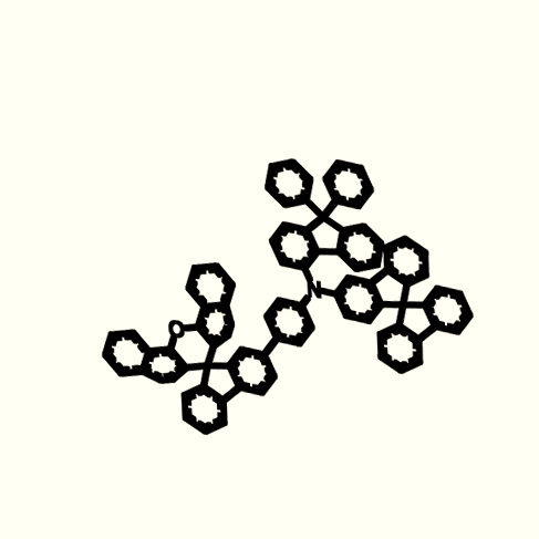 c1ccc(C2(c3ccccc3)c3ccccc3-c3c(N(c4ccc(-c5ccc6c(c5)C5(c7ccccc7-6)c6ccc7ccccc7c6Oc6c5ccc5ccccc65)cc4)c4ccc5c(c4)-c4ccccc4C54c5ccccc5-c5ccccc54)cccc32)cc1